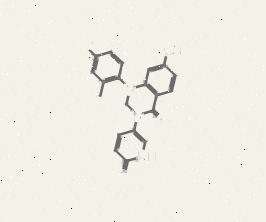 Cc1cc(F)ccc1N1CN(c2ccc(=O)[nH]c2)C(=O)c2ccc(C#N)cc21